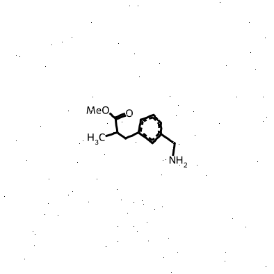 COC(=O)C(C)Cc1cccc(CN)c1